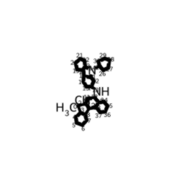 CC1(C)c2ccccc2-c2c1cc(Nc1ccc3c4ccccc4n(-c4ccccc4)c3c1)c1ccccc21